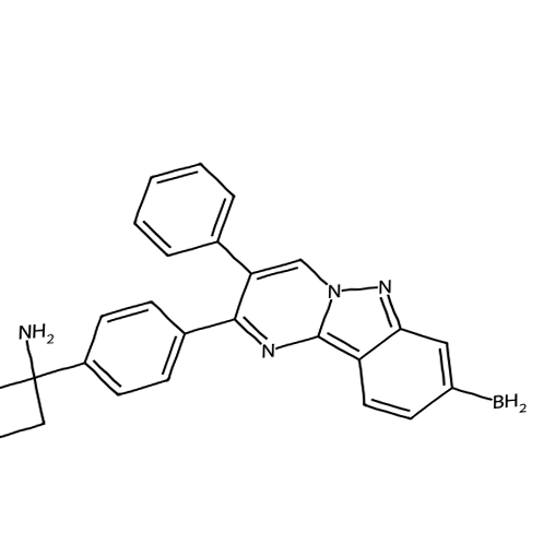 Bc1ccc2c(c1)nn1cc(-c3ccccc3)c(-c3ccc(C4(N)CCC4)cc3)nc21